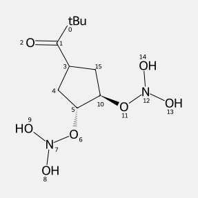 CC(C)(C)C(=O)C1C[C@@H](ON(O)O)[C@H](ON(O)O)C1